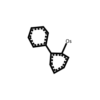 [Os][c]1ccccc1-c1ccccc1